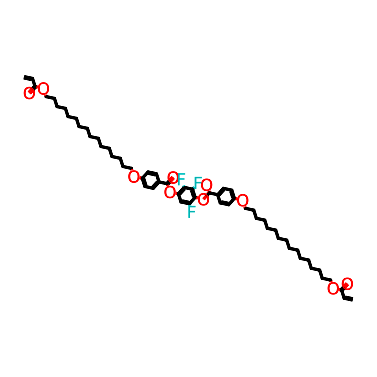 C=CC(=O)OCCCCCCCCCCCCCCCCOc1ccc(C(=O)Oc2cc(F)c(OC(=O)c3ccc(OCCCCCCCCCCCCCCCCOC(=O)C=C)cc3)c(F)c2F)cc1